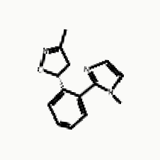 CC1=NO[C@@H](c2ccccc2-c2nccn2C)C1